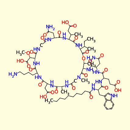 CCCCCCCCCC(=O)NC(Cc1c[nH]c2ccccc12)C(=O)NC(CCC(=O)O)C(=O)NC(CC(N)=O)C(=O)NC1C(=O)N(C)CC(=O)NC(C)C(=O)NC(CC(=O)O)C(=O)NC(CCCCN)C(=O)NC(C(OC)C(=O)O)C(=O)NCC(=O)NC(CC(N)=O)C(=O)NC(C(C)CC(=O)O)C(=O)NC(C(C)CC)C(=O)OC1C